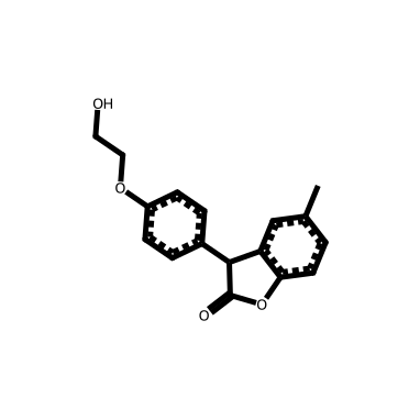 Cc1ccc2c(c1)C(c1ccc(OCCO)cc1)C(=O)O2